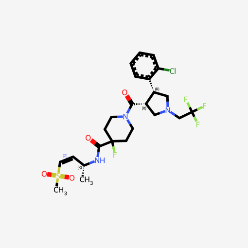 C[C@H](/C=C\S(C)(=O)=O)NC(=O)C1(F)CCN(C(=O)[C@H]2CN(CC(F)(F)F)C[C@H]2c2ccccc2Cl)CC1